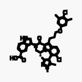 Cc1cc(OCCCc2c3n(c4c(-c5c(C)nn(C)c5C)c(Cl)ccc24)[C@H](C)CN(c2c[nH]c4ccc(C(=O)O)cc24)C3=O)cc(C)c1Cl